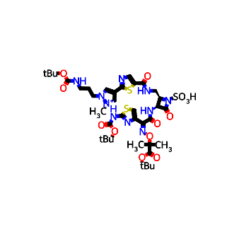 C[n+]1cc(-c2ncc(C(=O)NC[C@@H]3[C@H](NC(=O)/C(=N\OC(C)(C)C(=O)OC(C)(C)C)c4csc(NC(=O)OC(C)(C)C)n4)C(=O)N3S(=O)(=O)O)s2)cn1CCCNC(=O)OC(C)(C)C